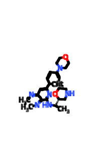 CC/C=C(\C=C/C(C)C1=CC(=N/C)/C(=N\C)C(NC(C)[C@H]2CNCCO2)=N1)N1CCOCC1